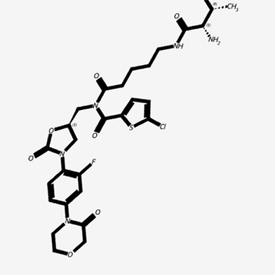 C[C@@H](O)[C@H](N)C(=O)NCCCCC(=O)N(C[C@H]1CN(c2ccc(N3CCOCC3=O)cc2F)C(=O)O1)C(=O)c1ccc(Cl)s1